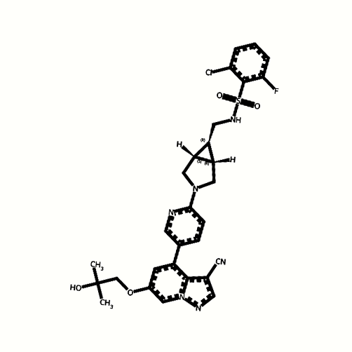 CC(C)(O)COc1cc(-c2ccc(N3C[C@@H]4[C@@H](CNS(=O)(=O)c5c(F)cccc5Cl)[C@@H]4C3)nc2)c2c(C#N)cnn2c1